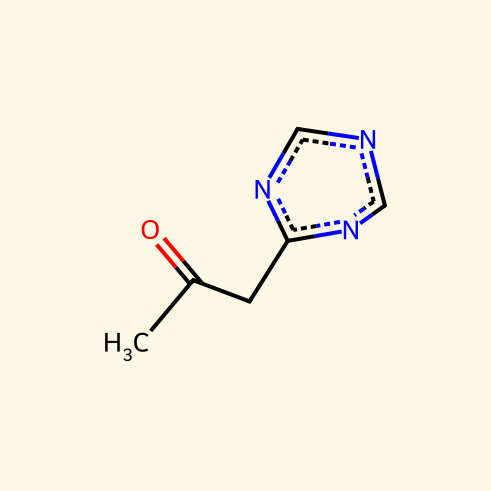 CC(=O)Cc1ncncn1